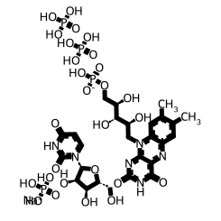 Cc1cc2nc3c(=O)[nH]c(=O)nc-3n(C[C@H](O)[C@H](O)[C@H](O)COP(=O)([O-])O)c2cc1C.O=P(O)(O)O.O=P(O)(O)O.O=P(O)(O)O.O=c1ccn([C@@H]2O[C@H](CO)[C@@H](O)[C@H]2O)c(=O)[nH]1.[Na+]